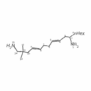 CCCCCCC(N)CC=CCCC=CCC(C)(C)CN